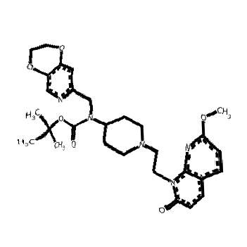 COc1ccc2ccc(=O)n(CCN3CCC(N(Cc4cc5c(cn4)OCCO5)C(=O)OC(C)(C)C)CC3)c2n1